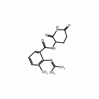 CC(C)=Nc1c(C)cccc1C(=O)NC1CCC(=O)NC1=O